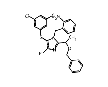 CC(C)c1nc(C(C)OCc2ccccc2)n(Cc2ccccc2[N+](=O)[O-])c1Sc1cc(Cl)cc(Cl)c1